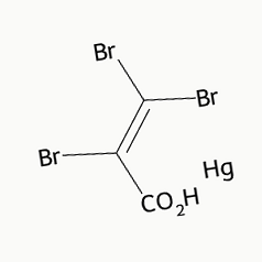 O=C(O)C(Br)=C(Br)Br.[Hg]